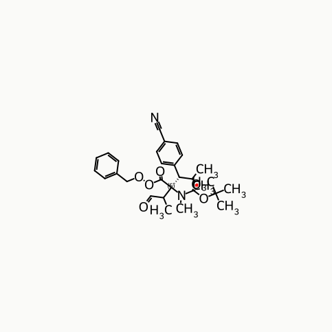 CC(C)C(c1ccc(C#N)cc1)[C@@](C(=O)OOCc1ccccc1)(C(C)C=O)N(C)C(=O)OC(C)(C)C